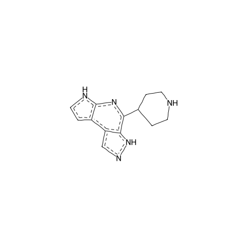 c1cc2c(nc(C3CCNCC3)c3[nH]ncc32)[nH]1